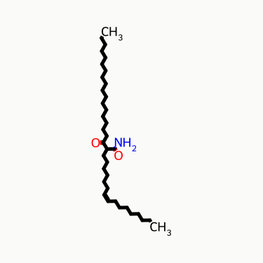 CCCCCCCC/C=C\CCCCCCC(C(N)=O)C(=O)CCCCCCCCCCCCCCCCC